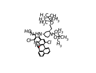 CC(C)(C)OC(=O)N1CC[C@H](Nc2c(/C=N/O)c(Cl)nc3c(F)c(-c4cccc5cccc(C#N)c45)c(Cl)cc23)C[C@H]1CCO[Si](C)(C)C(C)(C)C